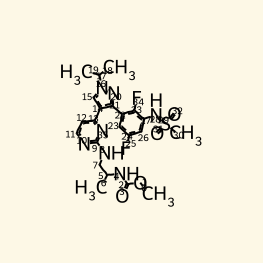 COC(=O)NC(C)CNc1nccc(-c2cn(C(C)C)nc2-c2cc(F)cc(NS(C)(=O)=O)c2F)n1